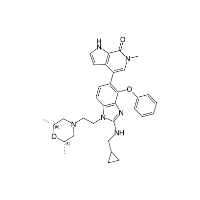 C[C@@H]1CN(CCn2c(NCC3CC3)nc3c(Oc4ccccc4)c(-c4cn(C)c(=O)c5[nH]ccc45)ccc32)C[C@H](C)O1